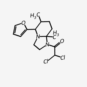 CC1CCC2(C)N(C(=O)C(Cl)Cl)CCN2C1c1ccco1